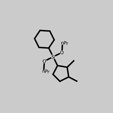 CCCO[Si](OCCC)(C1CCCCC1)C1CCC(C)C1C